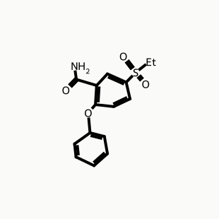 CCS(=O)(=O)c1ccc(Oc2ccccc2)c(C(N)=O)c1